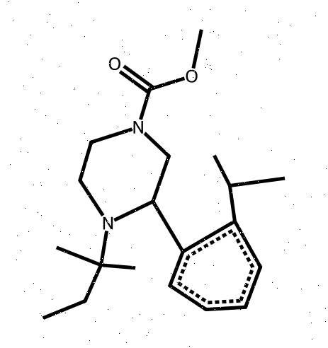 CCC(C)(C)N1CCN(C(=O)OC)CC1c1ccccc1C(C)C